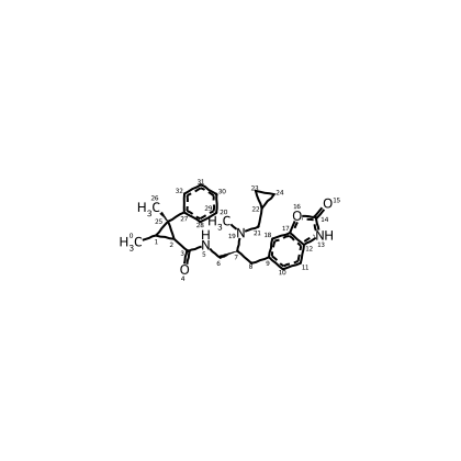 CC1C(C(=O)NC[C@H](Cc2ccc3[nH]c(=O)oc3c2)N(C)CC2CC2)[C@@]1(C)c1ccccc1